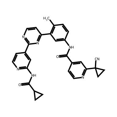 Cc1ccc(NC(=O)c2ccnc(C3(C#N)CC3)c2)cc1-c1ccnc(-c2ccnc(NC(=O)C3CC3)c2)n1